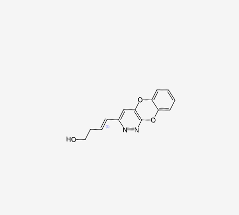 OCC/C=C/c1cc2c(nn1)Oc1ccccc1O2